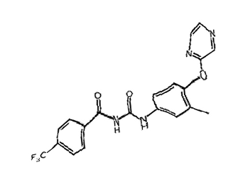 Cc1cc(NC(=O)NC(=O)c2ccc(C(F)(F)F)cc2)ccc1Oc1cnccn1